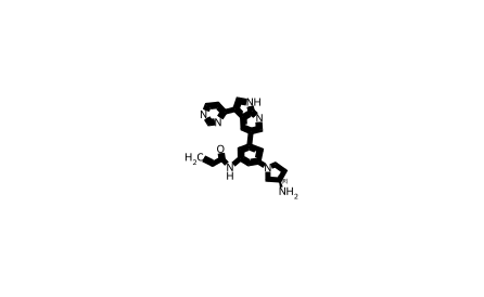 C=CC(=O)Nc1cc(-c2cnc3[nH]cc(-c4ccncn4)c3c2)cc(N2CC[C@@H](N)C2)c1